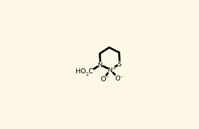 O=C(O)N1CCCS[N+]1([O-])[O-]